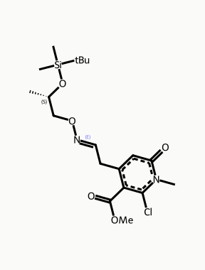 COC(=O)c1c(C/C=N/OC[C@H](C)O[Si](C)(C)C(C)(C)C)cc(=O)n(C)c1Cl